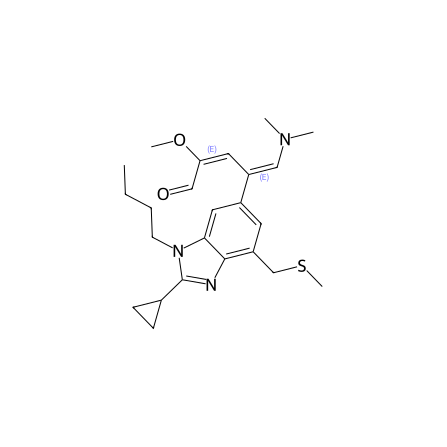 CCCCn1c(C2CC2)nc2c(CSC)cc(C(/C=C(\C=O)OC)=C/N(C)C)cc21